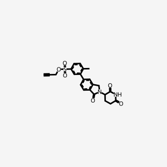 C#CCOS(=O)(=O)c1ccc(C)c(-c2ccc3c(c2)CN(C2CCC(=O)NC2=O)C3=O)c1